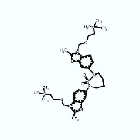 Cc1nc2cc(N3CCCCN(c4ccc5c(c4)nc(C)n5COCC[Si](C)(C)C)S3(=O)=O)ccc2n1COCC[Si](C)(C)C